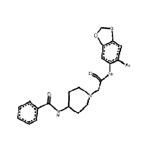 CC(=O)c1cc2c(cc1NC(=O)CN1CCC(NC(=O)c3ccccc3)CC1)OCO2